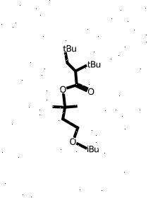 CCC(C)OCCC(C)(C)OC(=O)C(CC(C)(C)C)C(C)(C)C